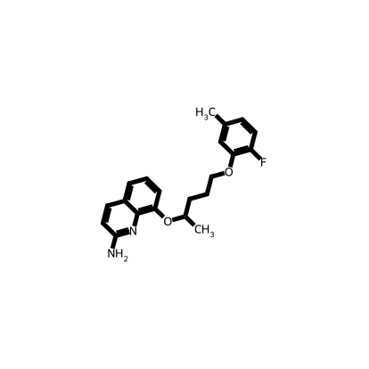 Cc1ccc(F)c(OCCCC(C)Oc2cccc3ccc(N)nc23)c1